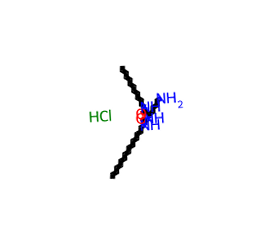 CCCCCCCCCCCCCCCCNC(=O)NC(CCCCN)C(=O)NCCCCCCCCCCCC.Cl